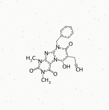 C#CCc1c(O)n2c3c(=O)n(C)c(=O)n(C)c3nc2n(Cc2ccccc2)c1=O